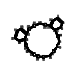 C1=CCN2OCCOCCOCCOc3ccccc3OCCOC2=C1